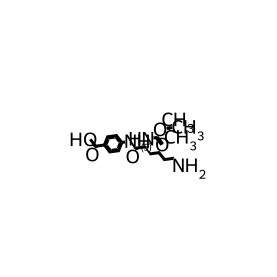 CC(C)(C)OC(=O)N[C@@H](CCCCN)C(=O)Nc1ccc(C(=O)O)cc1